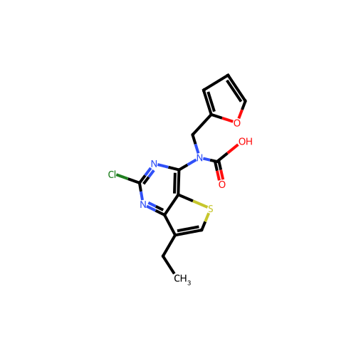 CCc1csc2c(N(Cc3ccco3)C(=O)O)nc(Cl)nc12